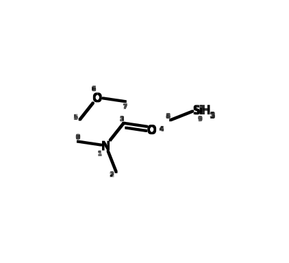 CN(C)C=O.COC.C[SiH3]